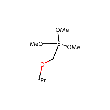 CCCOC[Si](OC)(OC)OC